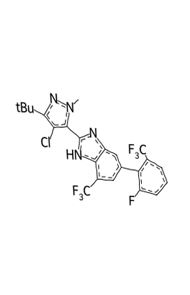 Cn1nc(C(C)(C)C)c(Cl)c1-c1nc2cc(-c3c(F)cccc3C(F)(F)F)cc(C(F)(F)F)c2[nH]1